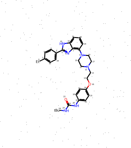 CCc1ccc(-c2nc3c(N4CCN(CCOc5ccc(NC(=O)NC(C)(C)C)cc5)CC4)cccc3[nH]2)cc1